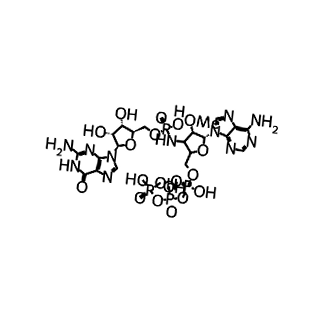 CO[C@@H]1C(NP(=O)(O)OC[C@H]2O[C@@H](n3cnc4c(=O)[nH]c(N)nc43)[C@H](O)[C@@H]2O)C(COP(=O)(O)OP(=O)(O)OP(=O)(O)O)O[C@H]1n1cnc2c(N)ncnc21